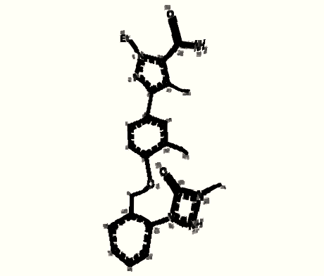 CCn1nc(-c2ccc(OCc3ccccc3-n3[nH]n(C)c3=O)c(C)c2)c(C)c1C(N)=O